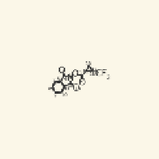 O=C(ON1C(=O)c2ccccc2C1=O)[C@H]1C[C@@H]1C(F)(F)F